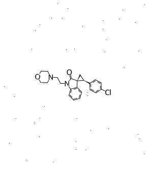 O=C1N(CCN2CCOCC2)c2ccccc2[C@]12C[C@H]2c1ccc(Cl)cc1